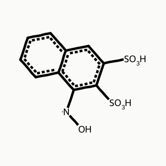 O=S(=O)(O)c1cc2ccccc2c([N]O)c1S(=O)(=O)O